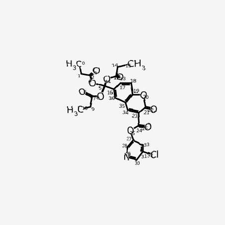 CCC(=O)OC(OC(=O)CC)(OC(=O)CC)c1ccc2oc(=O)c(C(=O)Oc3cncc(Cl)c3)cc2c1